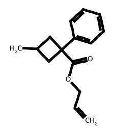 C=CCOC(=O)C1(c2ccccc2)CC(C)C1